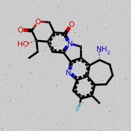 CC[C@@]1(O)C(=O)OCc2c1cc1n(c2=O)Cc2c-1nc1cc(F)c(C)c3c1c2[C@H](N)CCC3